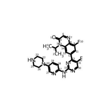 CC(C)n1c(=O)cnc2c(F)cc(-c3nc(Nc4ccc(N5CCNCC5)cn4)ncc3F)cc21